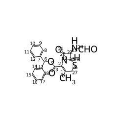 CC1=C(C(=O)OC(c2ccccc2)c2ccccc2)N2C(=O)C(NC=O)[C@@H]2SC1